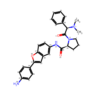 CN(C)[C@@H](C(=O)N1CCC[C@H]1C(=O)Nc1ccc2oc(-c3ccc(N)cc3)cc2c1)c1ccccc1